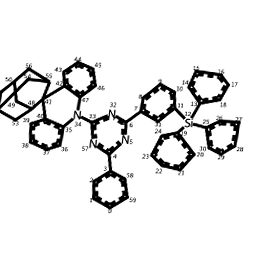 c1ccc(-c2nc(-c3cccc([Si](c4ccccc4)(c4ccccc4)c4ccccc4)c3)nc(N3c4ccccc4C4(c5ccccc53)C3CC5CC(C3)CC4C5)n2)cc1